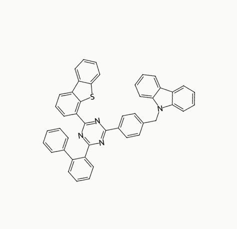 c1ccc(-c2ccccc2-c2nc(-c3ccc(Cn4c5ccccc5c5ccccc54)cc3)nc(-c3cccc4c3sc3ccccc34)n2)cc1